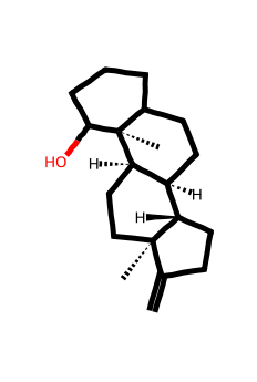 C=C1CC[C@H]2[C@@H]3CCC4CCCC(O)[C@]4(C)[C@@H]3CC[C@]12C